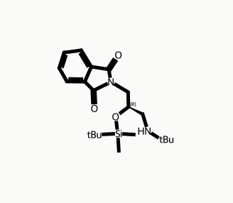 CC(C)(C)NC[C@H](CN1C(=O)c2ccccc2C1=O)O[Si](C)(C)C(C)(C)C